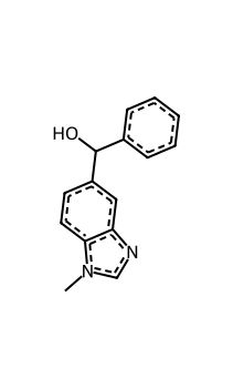 Cn1cnc2cc(C(O)c3ccccc3)ccc21